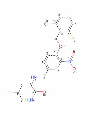 CC(C)CC(NCc1ccc(OCc2c(F)cccc2Cl)c([N+](=O)[O-])c1)C(N)=O